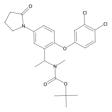 CC(c1cc(N2CCCC2=O)ccc1Oc1ccc(Cl)c(Cl)c1)N(C)C(=O)OC(C)(C)C